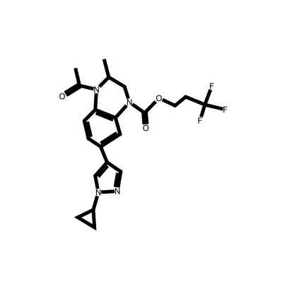 CC(=O)N1c2ccc(-c3cnn(C4CC4)c3)cc2N(C(=O)OCCC(F)(F)F)CC1C